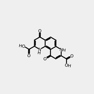 O=C(O)c1cc(=O)c2c(ccc3c(=O)cc(C(=O)O)[nH]c32)[nH]1